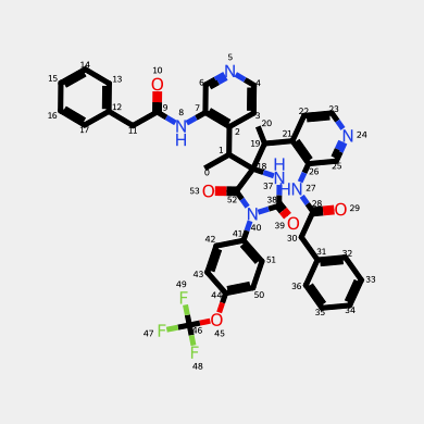 CC(c1ccncc1NC(=O)Cc1ccccc1)C1(C(C)c2ccncc2NC(=O)Cc2ccccc2)NC(=O)N(c2ccc(OC(F)(F)F)cc2)C1=O